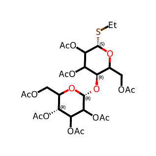 CCS[C@@H]1OC(COC(C)=O)[C@@H](O[C@H]2OC(COC(C)=O)[C@@H](OC(C)=O)C(OC(C)=O)C2OC(C)=O)C(OC(C)=O)C1OC(C)=O